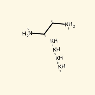 NCCN.[KH].[KH].[KH].[KH]